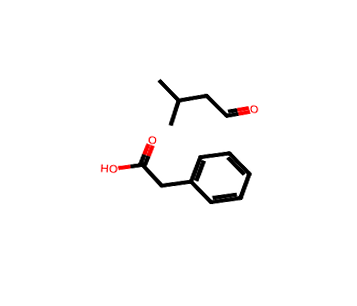 CC(C)CC=O.O=C(O)Cc1ccccc1